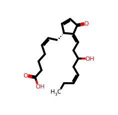 CC/C=C\CC(O)C/C=C1/C(=O)C=C[C@H]1C/C=C\CCCC(=O)O